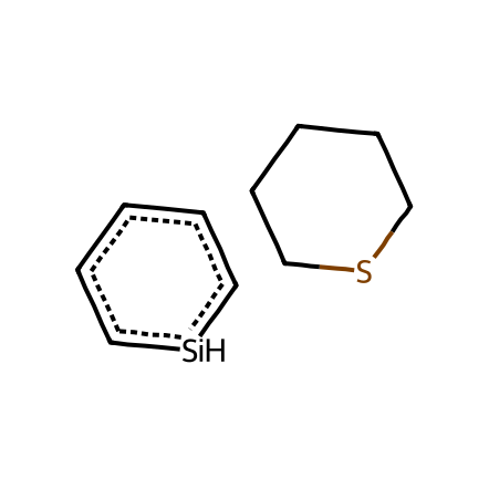 C1CCSCC1.c1cc[siH]cc1